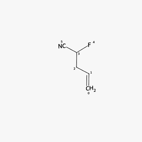 C=CCC(F)C#N